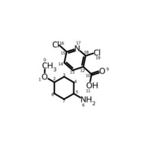 COC1CCC(N)CC1.O=C(O)c1ccc(Cl)nc1Cl